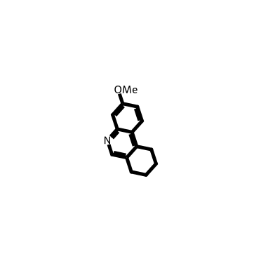 COc1ccc2c3c(cnc2c1)CCCC3